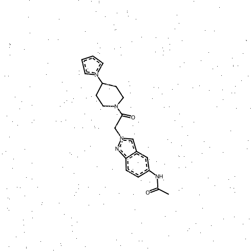 CC(=O)Nc1ccc2nn(CC(=O)N3CCC(n4cccc4)CC3)cc2c1